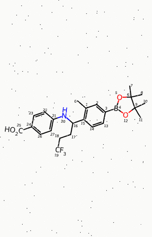 Cc1cc(B2OC(C)(C)C(C)(C)O2)ccc1C(CCC(F)(F)F)Nc1ccc(C(=O)O)cc1